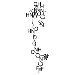 Cc1ncsc1-c1ccc(C(C)NC(=O)[C@@H]2C[C@@H](O)CN2C(=O)C(NC(=O)CCCCCC(=O)NCCOCCOCCNC(=O)c2ccc3c(c2)c2cn(C)nc2n3-c2ccc(C(F)(F)F)cc2)C(C)(C)C)cc1